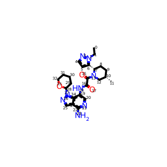 CCn1nccc1[C@@H]1CC[C@H](C)CN1C(=O)C(=O)Nc1cnc(N)c2cnn(C3CCCCO3)c12